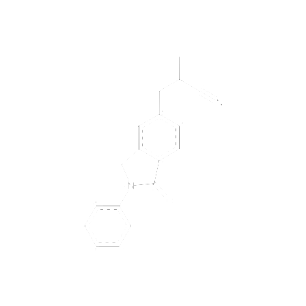 CC(C#N)Cc1ccc2c(c1)CN(c1ccccc1)C2=O